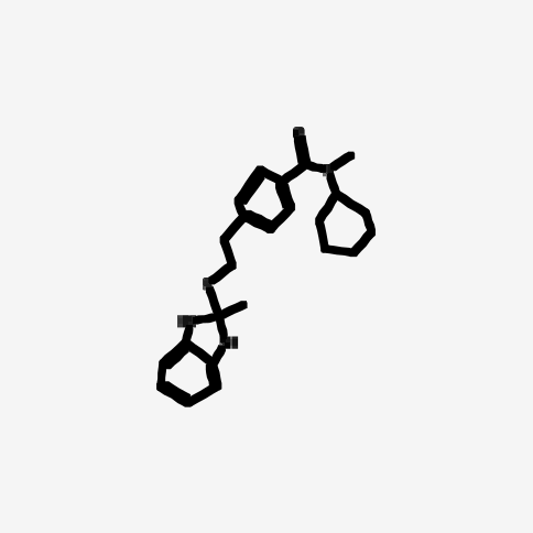 CN(C(=O)c1ccc(CCSC2(C)Nc3ccccc3N2)cc1)C1CCCCC1